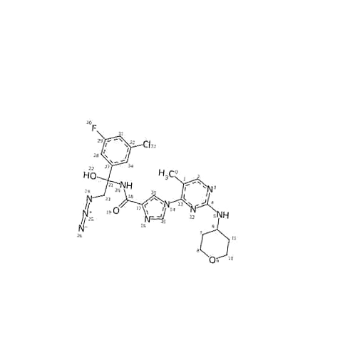 Cc1cnc(NC2CCOCC2)nc1-n1cnc(C(=O)NC(O)(CN=[N+]=[N-])c2cc(F)cc(Cl)c2)c1